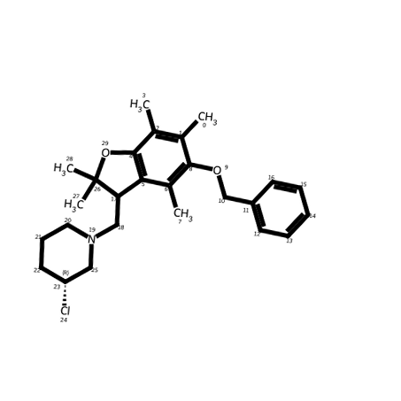 Cc1c(C)c2c(c(C)c1OCc1ccccc1)C(CN1CCC[C@@H](Cl)C1)C(C)(C)O2